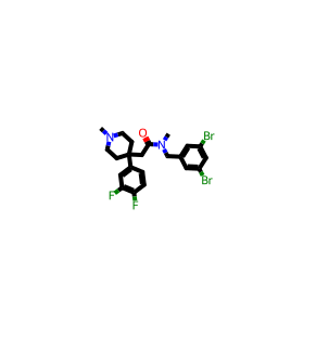 CN1CCC(CC(=O)N(C)Cc2cc(Br)cc(Br)c2)(c2ccc(F)c(F)c2)CC1